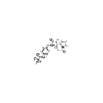 COC(C(C)C(=O)NSc1ccc(NC(=O)C(F)(F)F)cc1)C1CCCN1C=O